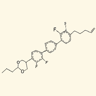 C=CCCCc1ccc(-c2ccc(-c3ccc(C4COC(CCC)OC4)c(F)c3F)cc2)c(F)c1F